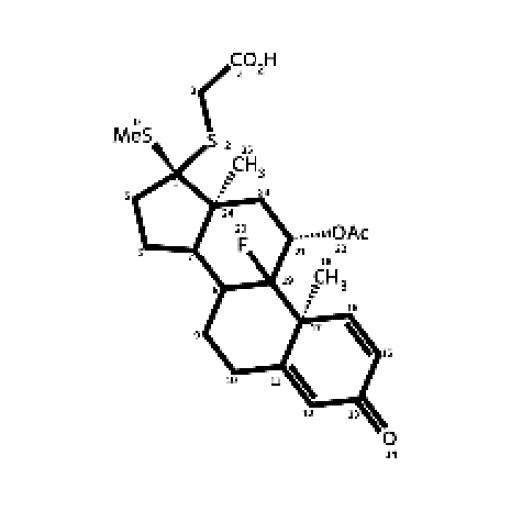 CS[C@]1(SCC(=O)O)CCC2C3CCC4=CC(=O)C=C[C@]4(C)C3(F)[C@@H](OC(C)=O)C[C@@]21C